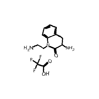 NCCN1C(=O)C(N)Cc2ccccc21.O=C(O)C(F)(F)F